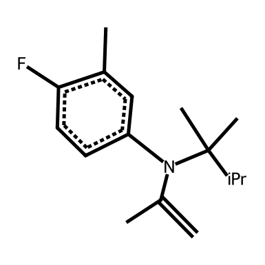 C=C(C)N(c1ccc(F)c(C)c1)C(C)(C)C(C)C